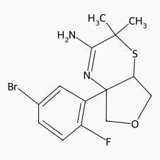 CC1(C)SC2COCC2(c2cc(Br)ccc2F)N=C1N